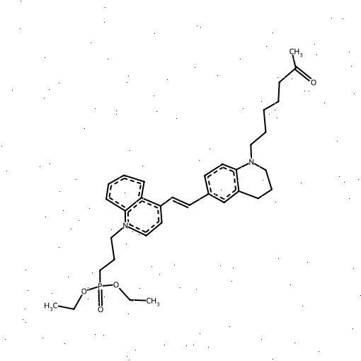 CCOP(=O)(CCC[n+]1ccc(C=Cc2ccc3c(c2)CCCN3CCCCCC(C)=O)c2ccccc21)OCC